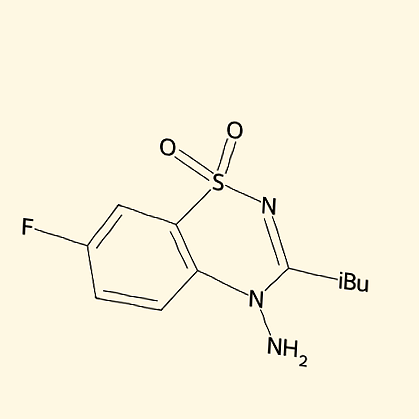 CCC(C)C1=NS(=O)(=O)c2cc(F)ccc2N1N